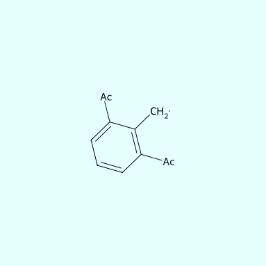 [CH2]c1c(C(C)=O)cccc1C(C)=O